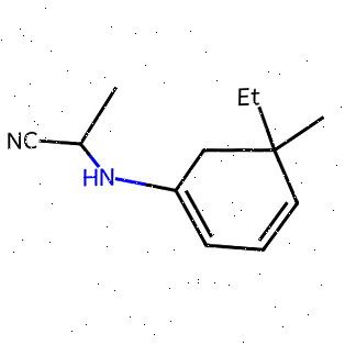 CCC1(C)C=CC=C(NC(C)C#N)C1